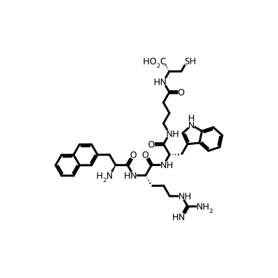 N=C(N)NCCC[C@H](NC(=O)[C@@H](N)Cc1ccc2ccccc2c1)C(=O)N[C@@H](Cc1c[nH]c2ccccc12)C(=O)NCCCC(=O)N[C@@H](CS)C(=O)O